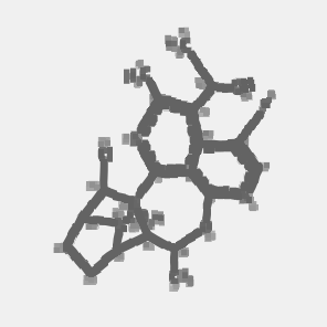 Cc1nc2c3c(ncc(F)c3c1C(C)O)OC(C)C1C3CCC(C(Cl)N21)N3C(=O)O